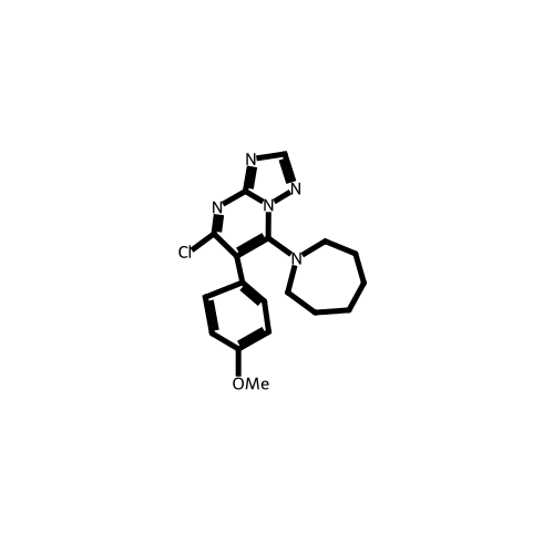 COc1ccc(-c2c(Cl)nc3ncnn3c2N2CCCCCC2)cc1